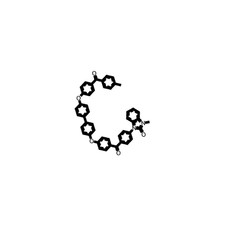 Cc1ccc(C(=O)c2ccc(Oc3ccc(-c4ccc(Oc5ccc(C(=O)c6ccc(-n7c(=O)n(C)c8ccccc87)cc6)cc5)cc4)cc3)cc2)cc1